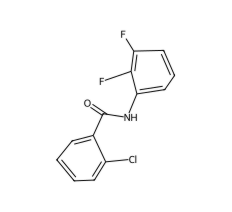 O=C(Nc1cccc(F)c1F)c1ccccc1Cl